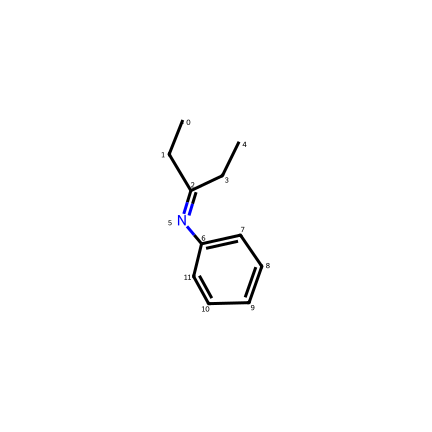 [CH2]CC(CC)=Nc1ccccc1